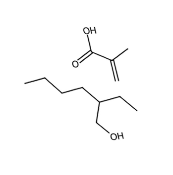 C=C(C)C(=O)O.CCCCC(CC)CO